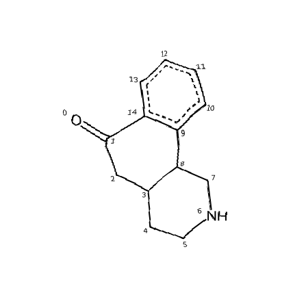 O=C1CC2CCNCC2c2ccccc21